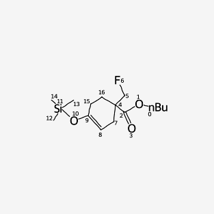 CCCCOC(=O)C1(CF)CC=C(O[Si](C)(C)C)CC1